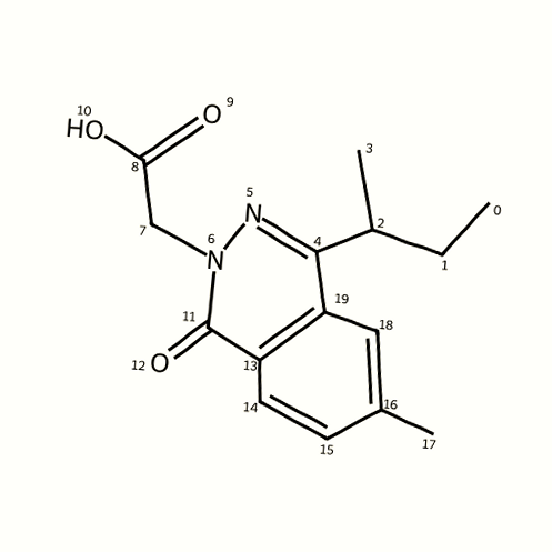 CCC(C)c1nn(CC(=O)O)c(=O)c2ccc(C)cc12